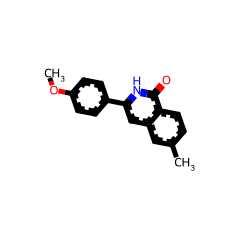 COc1ccc(-c2cc3cc(C)ccc3c(=O)[nH]2)cc1